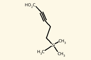 C[Si](C)(C)CCC#CC(=O)O